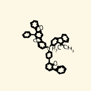 CC1(C)c2ccccc2-c2ccc(N(c3ccc(-c4cccc5c4oc4ccccc45)cc3)c3ccc4oc5c(-c6ccccc6)c6c(cc5c4c3)oc3ccccc36)cc21